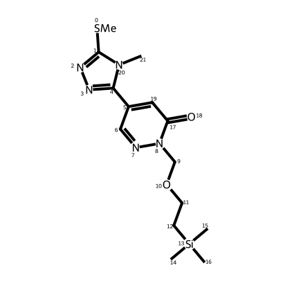 CSc1nnc(-c2cnn(COCC[Si](C)(C)C)c(=O)c2)n1C